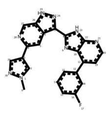 Cn1cc(-c2cc3c(-c4nc5c(-c6cccc(F)c6)ccnc5[nH]4)n[nH]c3cn2)cn1